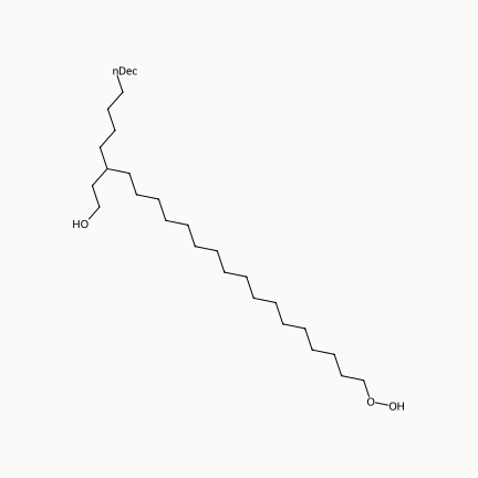 CCCCCCCCCCCCCCC(CCO)CCCCCCCCCCCCCCCCCOO